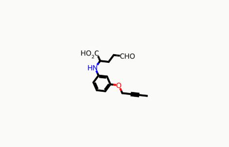 CC#CCOc1cccc(NC(CCC=O)C(=O)O)c1